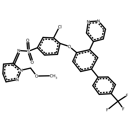 COCn1ncccc1=NS(=O)(=O)c1ccc(Oc2ccc(-c3ccc(C(F)(F)F)cc3)cc2-c2ccnnc2)c(Cl)c1